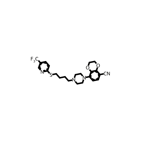 N#Cc1ccc(N2CCN(CCCCSc3ccc(C(F)(F)F)cn3)CC2)c2c1OCCO2